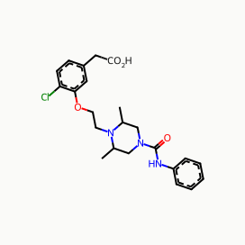 CC1CN(C(=O)Nc2ccccc2)CC(C)N1CCOc1cc(CC(=O)O)ccc1Cl